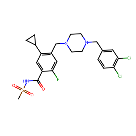 CS(=O)(=O)NC(=O)c1cc(C2CC2)c(CN2CCN(Cc3ccc(Cl)c(Cl)c3)CC2)cc1F